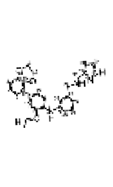 COc1nc(-c2cccc3c2OCCO3)ccc1Nc1cccc(CNCc2cc[nH]n2)c1